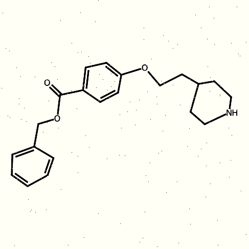 O=C(OCc1ccccc1)c1ccc(OCCC2CCNCC2)cc1